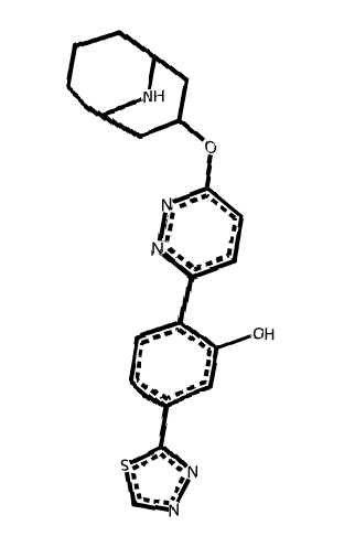 Oc1cc(-c2nncs2)ccc1-c1ccc(OC2CC3CCCC(C2)N3)nn1